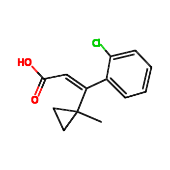 CC1(/C(=C\C(=O)O)c2ccccc2Cl)CC1